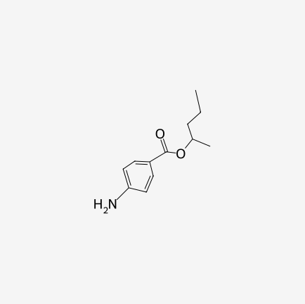 CCCC(C)OC(=O)c1ccc(N)cc1